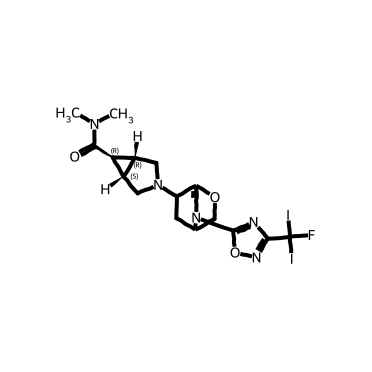 CN(C)C(=O)[C@H]1[C@@H]2CN(C3CC4COC3=CN4c3nc(C(F)(I)I)no3)C[C@@H]21